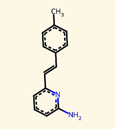 Cc1ccc(C=Cc2cccc(N)n2)cc1